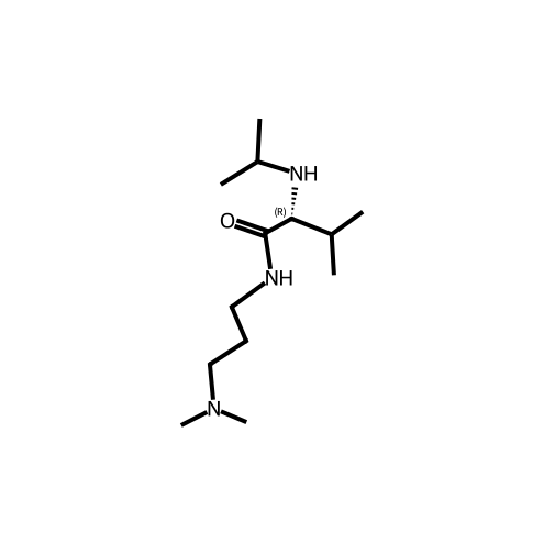 CC(C)N[C@@H](C(=O)NCCCN(C)C)C(C)C